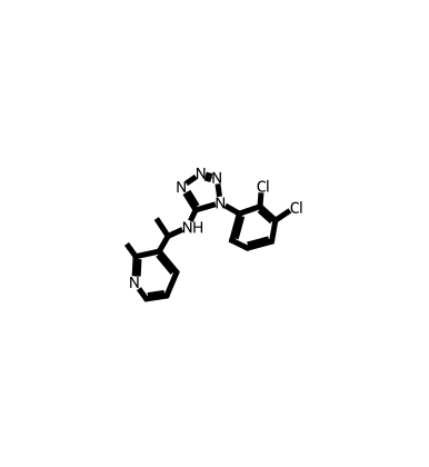 Cc1ncccc1C(C)Nc1nnnn1-c1cccc(Cl)c1Cl